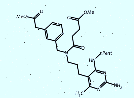 CCCCCNc1nc(N)nc(C)c1CCCN(Cc1cccc(CC(=O)OC)c1)C(=O)CCC(=O)OC